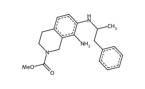 COC(=O)N1CCc2ccc(NC(C)Cc3ccccc3)c(N)c2C1